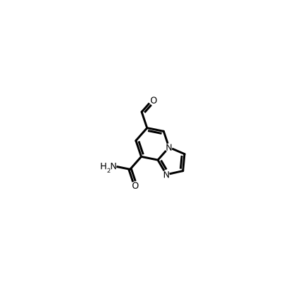 NC(=O)c1cc(C=O)cn2ccnc12